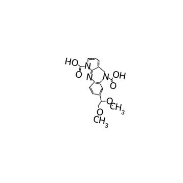 COCC(OC)c1ccc2c(c1)N(C(=O)O)CC1=CC=CN(C(=O)O)C1=N2